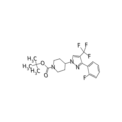 CC(C)(C)OC(=O)N1CCC(n2cc(C(F)(F)F)c(-c3ccccc3F)n2)CC1